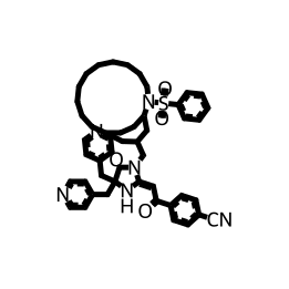 N#Cc1ccc(C(=O)C=C2NC(Cc3ccncc3)(Cc3ccncc3)C(=O)N2CC2CC3CCCCCCCCCCN(S(=O)(=O)c4ccccc4)C(CC3)C2)cc1